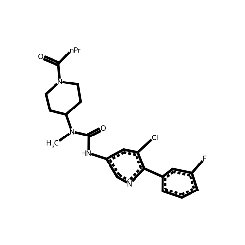 CCCC(=O)N1CCC(N(C)C(=O)Nc2cnc(-c3cccc(F)c3)c(Cl)c2)CC1